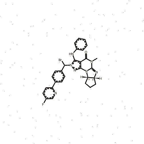 CN1C(=O)c2c(nn(C(Br)c3ccc(-c4ccc(F)cn4)cc3)c2Nc2ccccc2)N2C1=N[C@@H]1CCC[C@@H]12